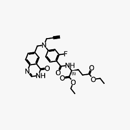 C#CCN(Cc1ccc2nc[nH]c(=O)c2c1)c1ccc(C(=O)N[C@@H](CCC(=O)OCC)C(=O)OCC)c(F)c1